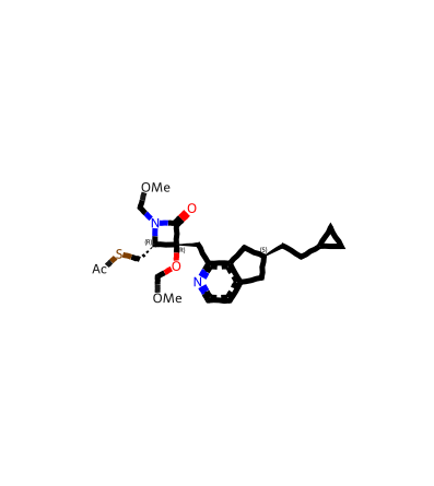 COCO[C@@]1(Cc2nccc3c2C[C@@H](CCC2CC2)C3)C(=O)N(COC)[C@H]1CSC(C)=O